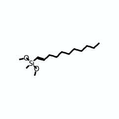 CCCCCCCCCC=C[Si](C)(OC)OC